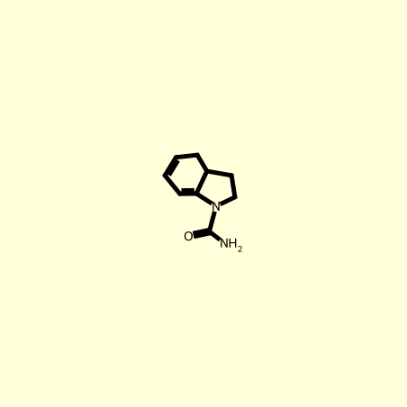 NC(=O)N1CCC2CC=CC=C21